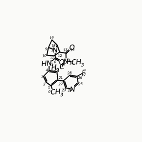 Cc1ccc(NC(=O)N2C3CCC(C(=O)N(C)C)C2C3)cc1-c1cncc(F)c1